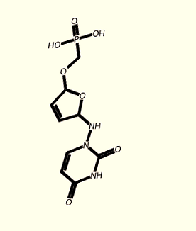 O=c1ccn(NC2C=CC(OCP(=O)(O)O)O2)c(=O)[nH]1